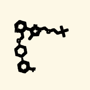 Cc1cn(COCC[Si](C)(C)C)nc1-c1cccnc1CO[C@H]1CC[C@@H](c2cccc(F)c2)CC1